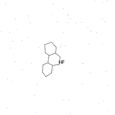 C1CCC2C(C1)CCC1CCCCC12.F